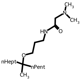 CCCCCCCC(C)(CCCCC)OCCCNC(=O)CN(C)C